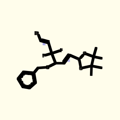 CC/C=C/C(F)(F)C(/C=C/B1OC(C)(C)C(C)(C)O1)OCc1ccccc1